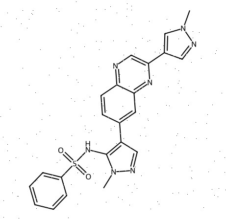 Cn1cc(-c2cnc3ccc(-c4cnn(C)c4NS(=O)(=O)c4ccccc4)cc3n2)cn1